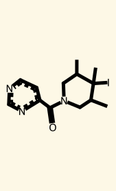 CC1CN(C(=O)c2ccncn2)CC(C)C1(C)I